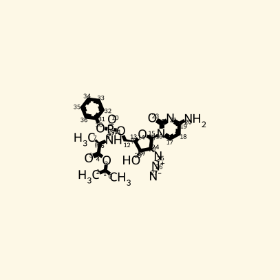 CC(C)OC(=O)[C@@H](C)N[P@](=O)(OC[C@H]1O[C@@H](n2ccc(N)nc2=O)[C@H](N=[N+]=[N-])[C@@H]1O)Oc1ccccc1